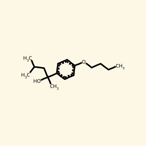 CCCCOc1ccc(C(C)(O)CC(C)C)cc1